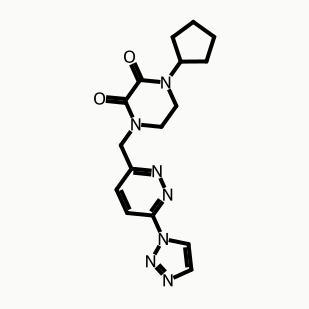 O=C1C(=O)N(C2CCCC2)CCN1Cc1ccc(-n2ccnn2)nn1